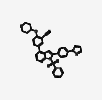 N#Cc1cc(-c2ccnc3c2cc(-c2ccc(-n4cccn4)cc2)n3S(=O)(=O)c2ccccc2)ccc1OC1CCOCC1